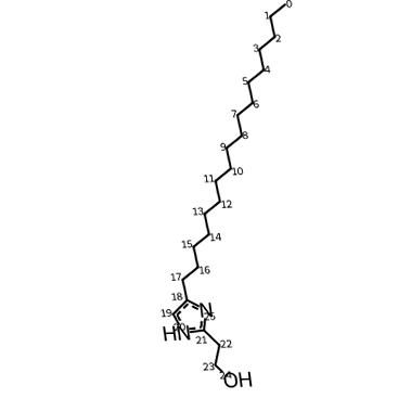 CCCCCCCCCCCCCCCCCCc1c[nH]c(CCO)n1